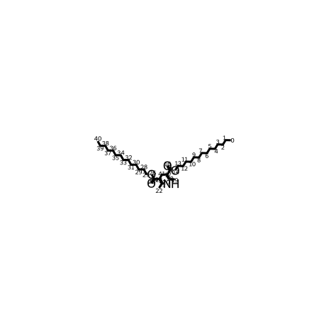 CCCCCCCCCCCCCCOC(=O)C1=C(C)NC(C)=C(C(=O)OCCCCCCCCCCCCCC)C1